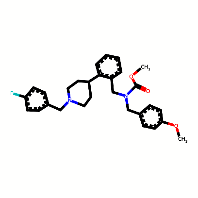 COC(=O)N(Cc1ccc(OC)cc1)Cc1ccccc1C1CCN(Cc2ccc(F)cc2)CC1